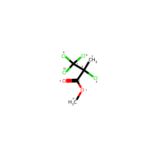 COC(=O)C(C)(Cl)C(Cl)(Cl)Cl